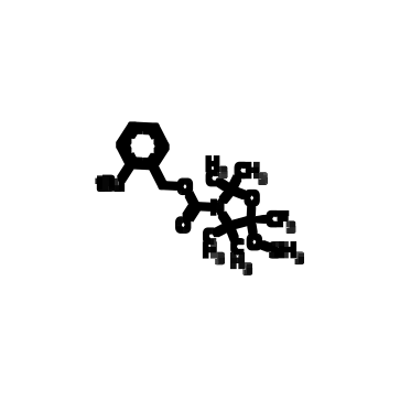 CC(C)(C)c1ccccc1COC(=O)N1C(C)(C)O[C@@](O[SiH3])(C(F)(F)F)C1(C)C